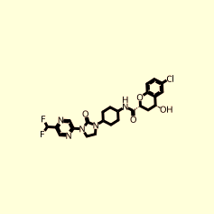 O=C(NC1CCC(N2CCN(c3cnc(C(F)F)cn3)C2=O)CC1)[C@H]1C[C@@H](O)c2cc(Cl)ccc2O1